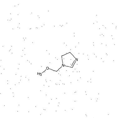 SOCN1C=NCC1